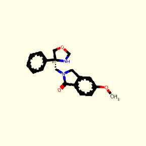 COc1ccc2c(c1)CN(C[C@]1(c3ccccc3)COCN1)C2=O